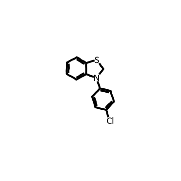 Clc1ccc(N2CSc3ccccc32)cc1